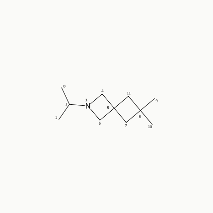 CC(C)N1CC2(C1)CC(C)(C)C2